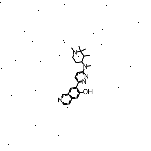 CC1C(N(C)c2ccc(-c3cc4cnccc4cc3O)nn2)CCN(C)C1(C)C